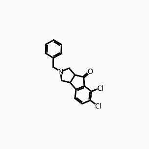 O=C1c2c(ccc(Cl)c2Cl)C2CN(Cc3ccccc3)CC12